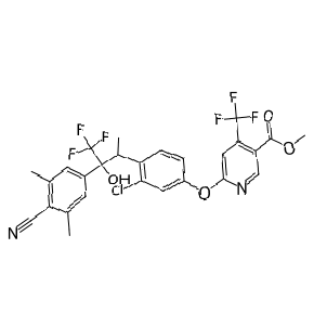 COC(=O)c1cnc(Oc2ccc(C(C)C(O)(c3cc(C)c(C#N)c(C)c3)C(F)(F)F)c(Cl)c2)cc1C(F)(F)F